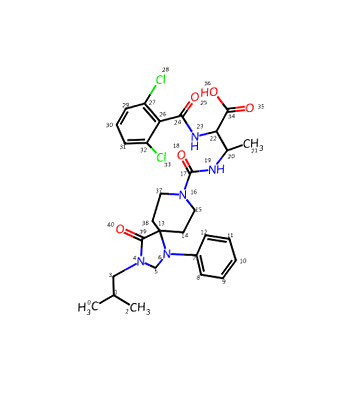 CC(C)CN1CN(c2ccccc2)C2(CCN(C(=O)NC(C)C(NC(=O)c3c(Cl)cccc3Cl)C(=O)O)CC2)C1=O